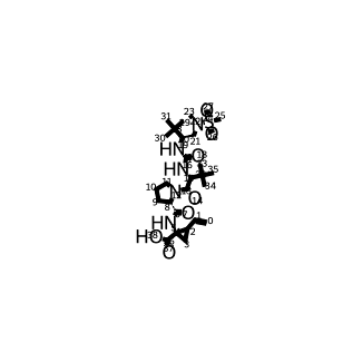 C=CC1C[C@]1(NC(=O)[C@@H]1CCCN1C(=O)[C@@H](NC(=O)N[C@H](CN(C)S(C)(=O)=O)C(C)(C)C)C(C)(C)C)C(=O)O